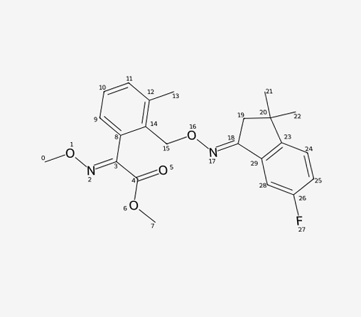 CO/N=C(/C(=O)OC)c1cccc(C)c1CO/N=C1\CC(C)(C)c2ccc(F)cc21